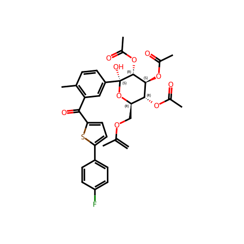 C=C(C)OC[C@H]1O[C@@](O)(c2ccc(C)c(C(=O)c3ccc(-c4ccc(F)cc4)s3)c2)[C@H](OC(C)=O)[C@@H](OC(C)=O)[C@@H]1OC(C)=O